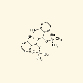 CC(C)(C)[Si](C)(C)OC(OC(O[Si](C)(C)C(C)(C)C)c1ccccc1N)c1ccccc1N